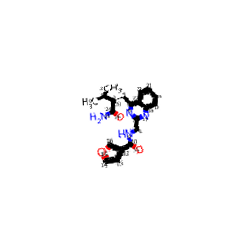 CC(C)[C@H](Cc1nc(CNC(=O)c2ccoc2)nc2ccccc12)C(N)=O